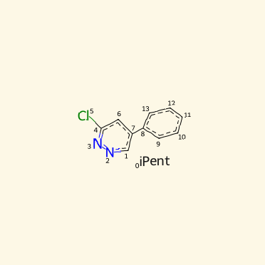 CCC[C@H](C)c1nnc(Cl)cc1-c1ccccc1